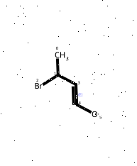 CC(Br)/C=C/[O]